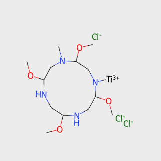 COC1CNC(OC)CN(C)C(OC)C[N]([Ti+3])C(OC)CN1.[Cl-].[Cl-].[Cl-]